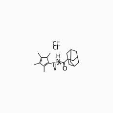 [CH2]=[Ti+2]([NH]C(=O)C12CC3CC(CC(C3)C1)C2)[C]1=C(C)C(C)=C(C)C1C.[Cl-].[Cl-]